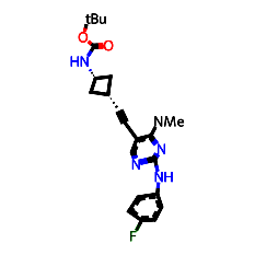 CNc1nc(Nc2ccc(F)cc2)ncc1C#C[C@H]1C[C@@H](NC(=O)OC(C)(C)C)C1